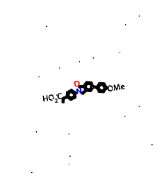 COc1ccc(-c2ccc3c(c2)CN(c2ccc(C(C)C(=O)O)cc2)C3=O)cc1